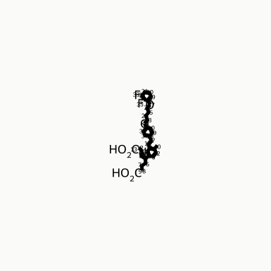 Cc1ccc2c(CCCC(=O)O)cn(CC(=O)O)c2c1C=Cc1ccc(OCCCCOc2cccc(F)c2F)cc1